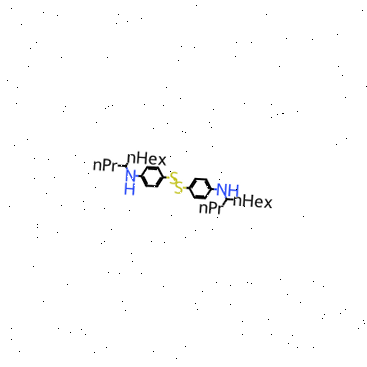 CCCCCCC(CCC)Nc1ccc(SSc2ccc(NC(CCC)CCCCCC)cc2)cc1